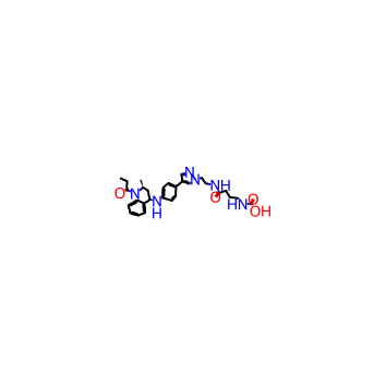 CCC(=O)N1c2ccccc2[C@H](Nc2ccc(-c3cnn(CCNC(=O)CCCNC(=O)O)c3)cc2)C[C@@H]1C